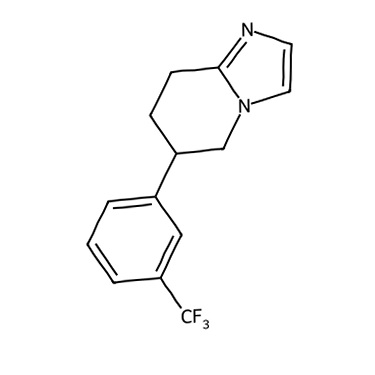 FC(F)(F)c1cccc(C2CCc3nccn3C2)c1